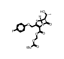 C[C@@H](O)[C@H]1C(=O)N2C(C(=O)OCOC(=O)C(C)(C)C)=C(COc3ccc(F)cc3)S[C@H]12